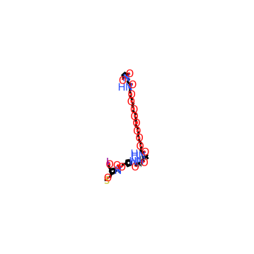 CSOCc1cc(COI)cc(N(C)C(=O)OCc2ccc(NC(=O)[C@H](C)NC(=O)[C@@H](NC(=O)CCOCCOCCOCCOCCOCCOCCOCCOCCNC(=O)CCN3C(=O)C=CC3=O)C(C)C)cc2)c1